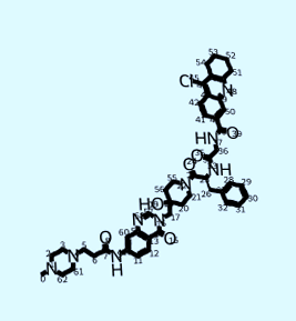 CN1CCN(CCC(=O)Nc2ccc3c(=O)n(CC4(O)CCN(C(=O)[C@H](Cc5ccccc5)NC(=O)CNC(=O)c5ccc6c(Cl)c7c(nc6c5)CCCC7)CC4)cnc3c2)CC1